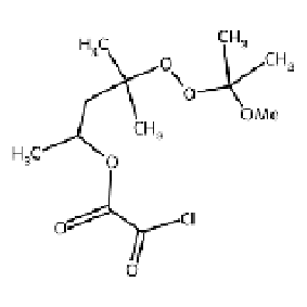 COC(C)(C)OOC(C)(C)CC(C)OC(=O)C(=O)Cl